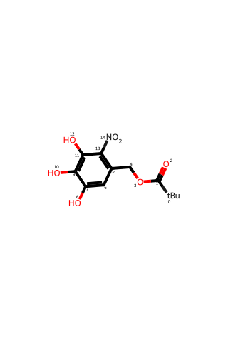 CC(C)(C)C(=O)OCc1cc(O)c(O)c(O)c1[N+](=O)[O-]